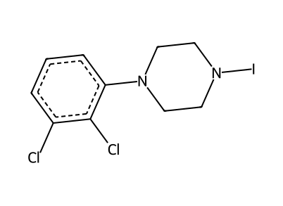 Clc1cccc(N2CCN(I)CC2)c1Cl